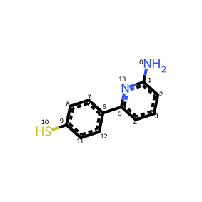 Nc1cccc(-c2ccc(S)cc2)n1